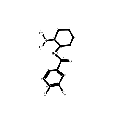 CCN(CC)C1CCCCC1NC(=O)c1ccc(Cl)c(Cl)c1